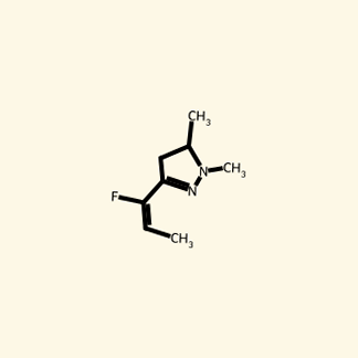 C/C=C(/F)C1=NN(C)C(C)C1